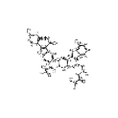 CNC(=O)c1c(-c2ccc(F)cc2)oc2cc(N(C)S(C)(=O)=O)c(-c3ccc4nc(CN(C)CC(=O)N(C)C)n5c6cccc(F)c6cc5c4n3)cc12